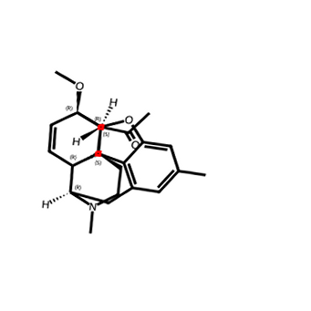 CO[C@]12C=C[C@@]3(C[C@@H]1C(C)=O)[C@H]1Cc4cc(C)cc5c4[C@@]3(CCN1C)[C@H]2O5